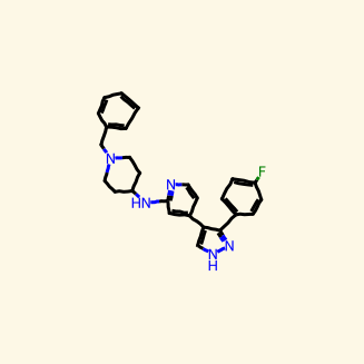 Fc1ccc(-c2n[nH]cc2-c2ccnc(NC3CCN(Cc4ccccc4)CC3)c2)cc1